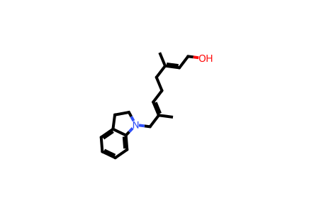 CC(=CCO)CCC=C(C)CN1CCc2ccccc21